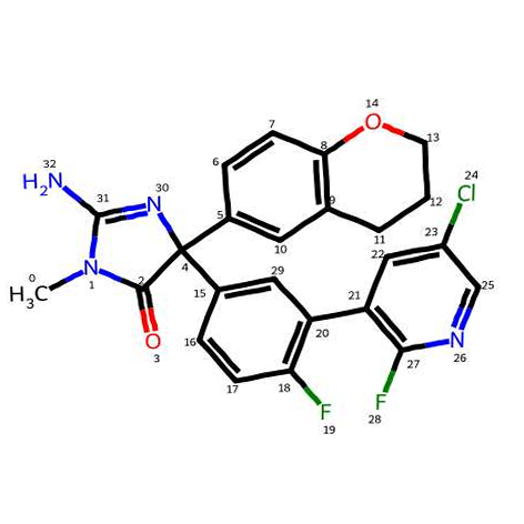 CN1C(=O)C(c2ccc3c(c2)CCCO3)(c2ccc(F)c(-c3cc(Cl)cnc3F)c2)N=C1N